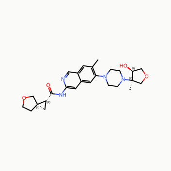 Cc1cc2cnc(NC(=O)[C@@H]3C[C@@]34CCOC4)cc2cc1N1CCN([C@]2(C)COC[C@@H]2O)CC1